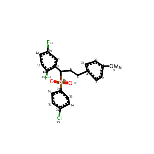 COc1ccc(CCC(c2cc(F)ccc2F)S(=O)(=O)c2ccc(Cl)cc2)cc1